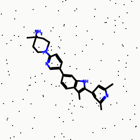 Cc1cc(-c2[nH]c3cc(-c4ccc(N5CCC(C)(N)CC5)nc4)ccc3c2C)cc(C)n1